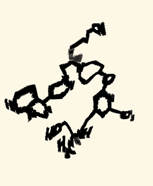 C[C@@H](CO)NCc1cc(OC2CCN([C@@H](CCCC#N)Cn3cc(-c4ncnc5[nH]ccc45)cn3)CC2)nc(C(F)(F)F)c1